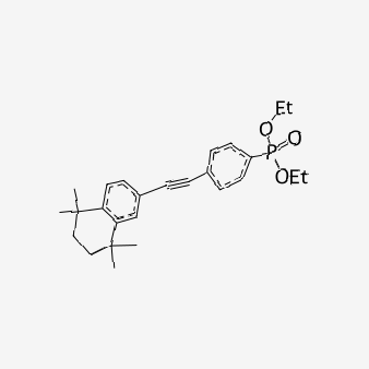 CCOP(=O)(OCC)c1ccc(C#Cc2ccc3c(c2)C(C)(C)CCC3(C)C)cc1